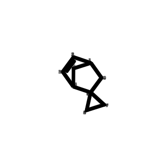 [CH]1C2C=CC(C2)C12CC2